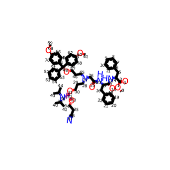 COC(=O)C(Cc1ccccc1)NC(=O)C(Cc1ccccc1)NC(=O)CN(CCCOP(OCCC#N)N(C(C)C)C(C)C)CCCOC(c1ccccc1)(c1ccc(OC)cc1)c1ccc(OC)cc1